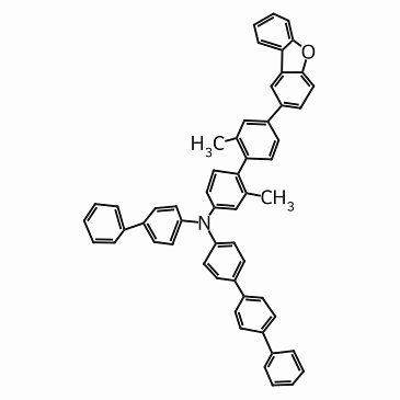 Cc1cc(-c2ccc3oc4ccccc4c3c2)ccc1-c1ccc(N(c2ccc(-c3ccccc3)cc2)c2ccc(-c3ccc(-c4ccccc4)cc3)cc2)cc1C